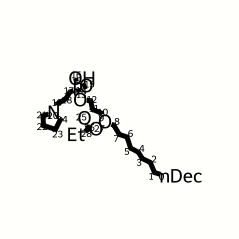 CCCCCCCCCCCCCCCCCCOCC(COP(=O)(O)CCCN1CCCC1)OC(=O)CC